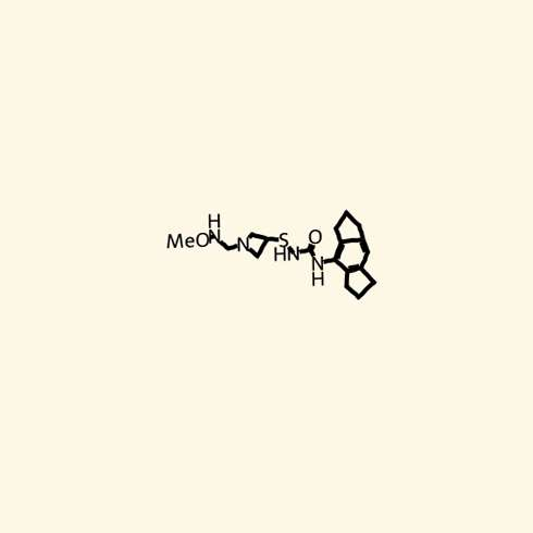 CONCN1CC(SNC(=O)Nc2c3c(cc4c2CCC4)CCC3)C1